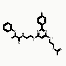 CC(=O)NCCNc1cc(NCCNC(=O)C(C)Oc2ccccc2)nc(-c2ccc(Cl)cc2)n1